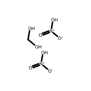 O=[N+]([O-])O.O=[N+]([O-])O.OCO